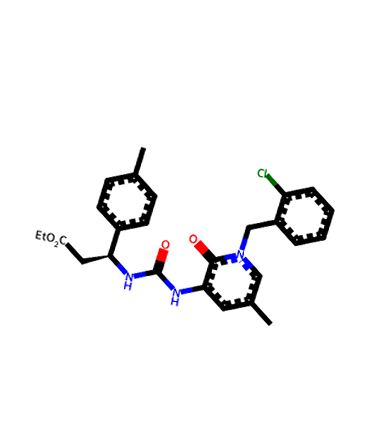 CCOC(=O)C[C@H](NC(=O)Nc1cc(C)cn(Cc2ccccc2Cl)c1=O)c1ccc(C)cc1